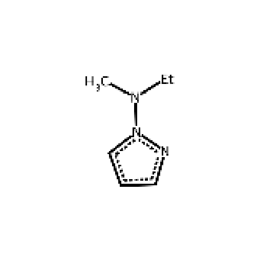 [CH2]CN(C)n1cccn1